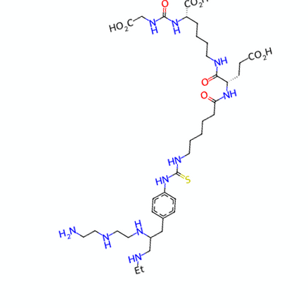 CCNCC(Cc1ccc(NC(=S)NCCCCCC(=O)N[C@@H](CCC(=O)O)C(=O)NCCCC[C@H](NC(=O)NCC(=O)O)C(=O)O)cc1)NCCNCCN